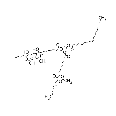 CCCCCCCCC/C=C\CCCCCCCC(=O)OC(COC(=O)CCCCCCCC(O)C(CC(OC(C)=O)C(O)CCCCC)OC(C)=O)COC(=O)CCCCCCCC(OC(C)=O)C(O)CCCCCCCC